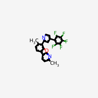 Cc1ccc2c(n1)oc1c(-c3cc(-c4c(F)c(F)c(F)c(F)c4F)ccn3)c(C)ccc12